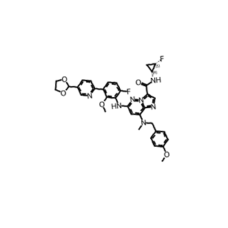 COc1ccc(CN(C)c2cc(Nc3c(F)ccc(-c4ccc(C5OCCO5)cn4)c3OC)nn3c(C(=O)N[C@@H]4C[C@@H]4F)cnc23)cc1